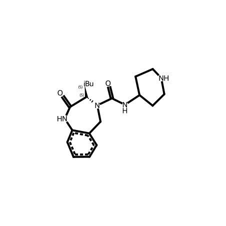 CC[C@H](C)[C@H]1C(=O)Nc2ccccc2CN1C(=O)NC1CCNCC1